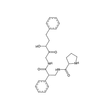 O=C(CNC(=O)C(CNC(=O)C1CCCN1)c1ccccc1)C(O)CCc1ccccc1